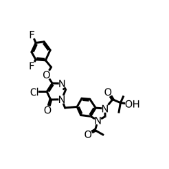 CC(=O)N1CN(C(=O)C(C)(C)O)c2ccc(Cn3cnc(OCc4ccc(F)cc4F)c(Cl)c3=O)cc21